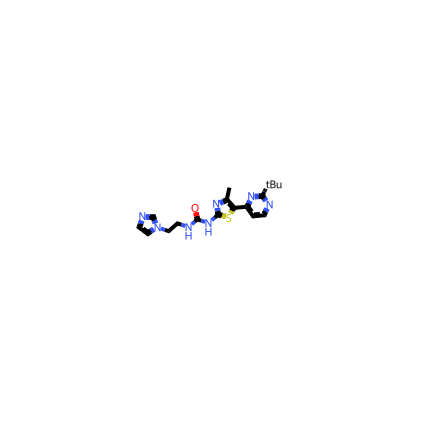 Cc1nc(NC(=O)NCCn2ccnc2)sc1-c1ccnc(C(C)(C)C)n1